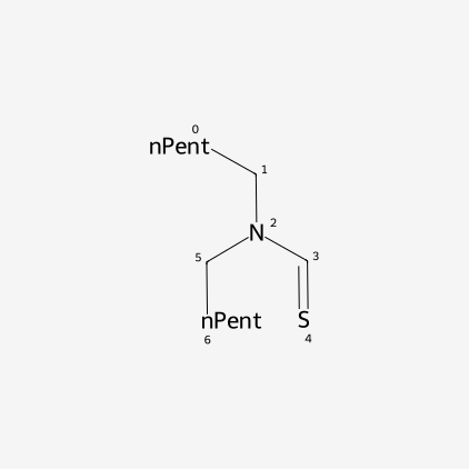 CCCCCCN(C=S)CCCCCC